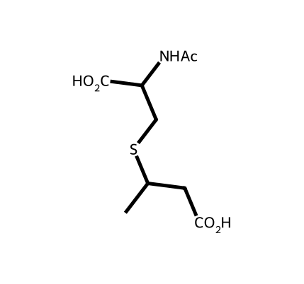 CC(=O)NC(CSC(C)CC(=O)O)C(=O)O